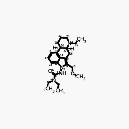 CCN(CC)C(=O)Nn1c(COC)c2c3c(cccc31)[C@H]1CCCN(CC)[C@@H]1C2